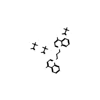 Nc1cc[n+](CCC[n+]2ccc(N)c3ccccc32)c2ccccc12.O=C(O)C(F)(F)F.O=C([O-])C(F)(F)F.O=C([O-])C(F)(F)F